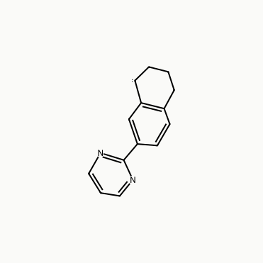 [C]1CCCc2ccc(-c3ncccn3)cc21